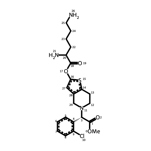 COC(=O)[C@H](c1ccccc1Cl)N1CCc2sc(OC(=O)C(N)CCCCN)cc2C1